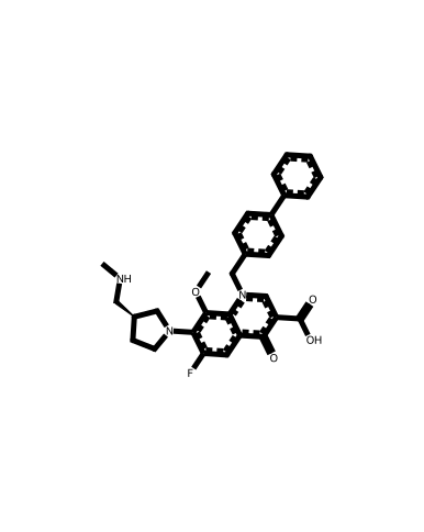 CNC[C@@H]1CCN(c2c(F)cc3c(=O)c(C(=O)O)cn(Cc4ccc(-c5ccccc5)cc4)c3c2OC)C1